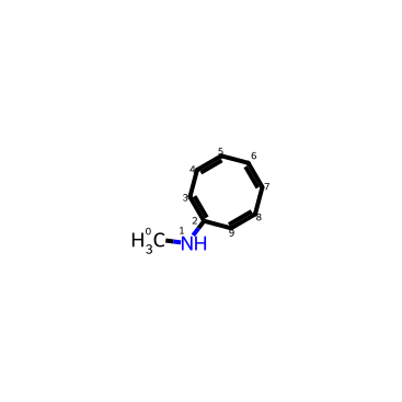 CNC1=C/C=C\C=C/C=C\1